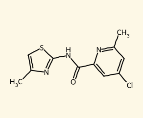 Cc1cc(Cl)cc(C(=O)Nc2nc(C)cs2)n1